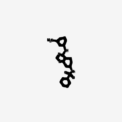 Cc1cccc(Nc2ncnc3cc(NS(=O)(=O)c4ccccc4)ccc23)c1